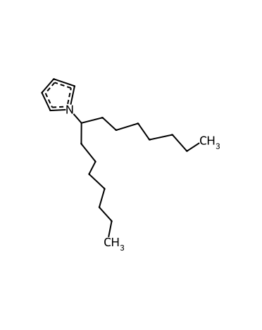 CCCCCCCC(CCCCCCC)n1cccc1